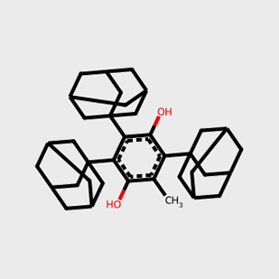 Cc1c(O)c(C23CC4CC(CC(C4)C2)C3)c(C23CC4CC(CC(C4)C2)C3)c(O)c1C12CC3CC(CC(C3)C1)C2